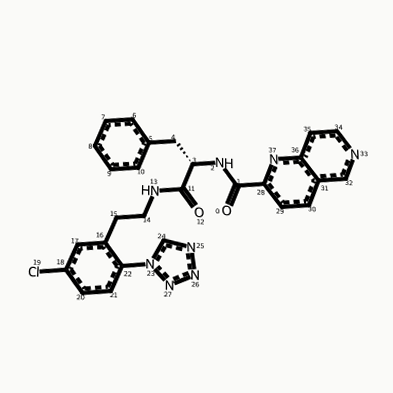 O=C(N[C@@H](Cc1ccccc1)C(=O)NCCc1cc(Cl)ccc1-n1cnnn1)c1ccc2cnccc2n1